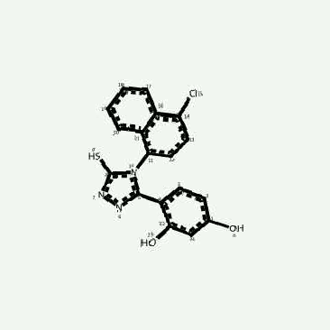 Oc1ccc(-c2nnc(S)n2-c2ccc(Cl)c3ccccc23)c(O)c1